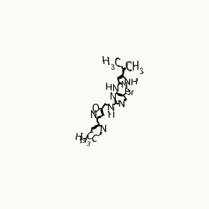 C/C=N\C(=C/C)c1cc(CNc2ncc(Br)c(Nc3cc(C(C)C)[nH]n3)n2)on1